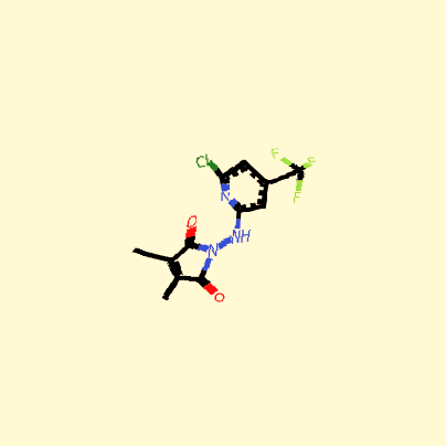 CC1=C(C)C(=O)N(Nc2cc(C(F)(F)F)cc(Cl)n2)C1=O